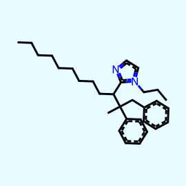 CCCCCCCCCC(c1nccn1CCC)C(C)(Cc1ccccc1)c1ccccc1